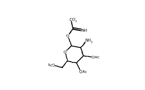 CC(=O)OCC1OC(OC(=N)C(Cl)(Cl)Cl)C(N)C(OC(C)=O)C1OC(C)=O